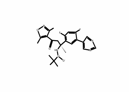 Cc1noc(C)c1C(=O)C[C@](C)(N[S+]([O-])C(C)(C)C)c1cc(-c2cncnc2)c(F)cc1F